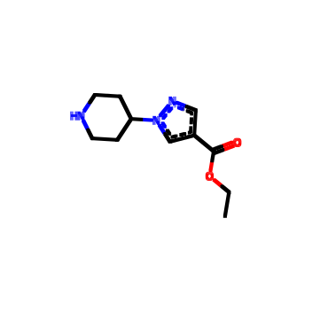 CCOC(=O)c1cnn(C2CCNCC2)c1